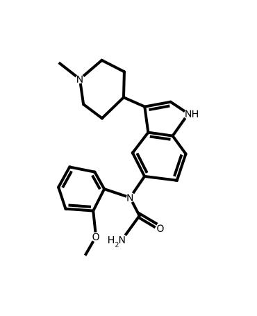 COc1ccccc1N(C(N)=O)c1ccc2[nH]cc(C3CCN(C)CC3)c2c1